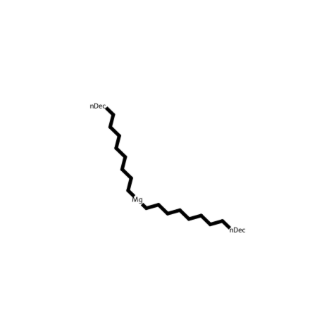 CCCCCCCCCCCCCCCCC[CH2][Mg][CH2]CCCCCCCCCCCCCCCCC